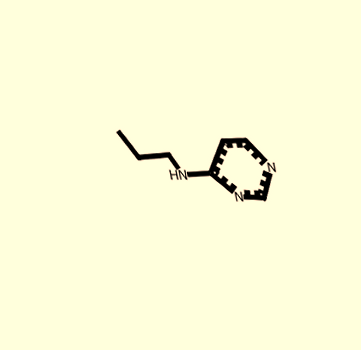 CCCNc1ccn[c]n1